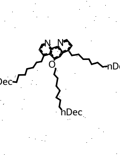 CCCCCCCCCCCCCCCCCCOc1cc2c(CCCCCCCCCCCCCCCCC)ccnc2c2nccc(CCCCCCCCCCCCCCCCC)c12